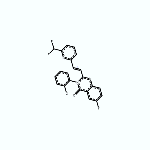 O=c1c2cc(F)ccc2nc(/C=C/c2cccc(C(F)F)n2)n1-c1ccccc1Cl